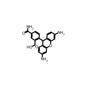 NC(=O)c1ccc(C2c3ccc(N)cc3Oc3cc(N)ccc32)c(C(=O)O)c1